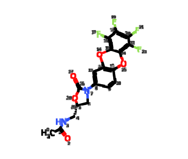 CC(=O)NC[C@H]1CN(c2ccc3c(c2)Oc2c(F)c(F)c(F)c(F)c2O3)C(=O)O1